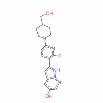 OCC1CCN(c2ccc(-c3cc4cc(O)cnc4[nH]3)c(F)n2)CC1